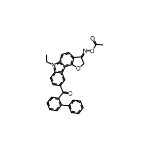 CCn1c2ccc(C(=O)c3ccccc3-c3ccccc3)cc2c2c3c(ccc21)/C(=N/OC(C)=O)CO3